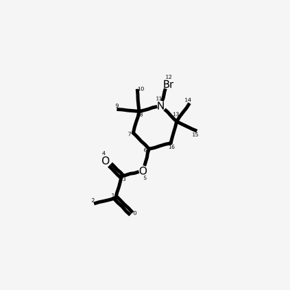 C=C(C)C(=O)OC1CC(C)(C)N(Br)C(C)(C)C1